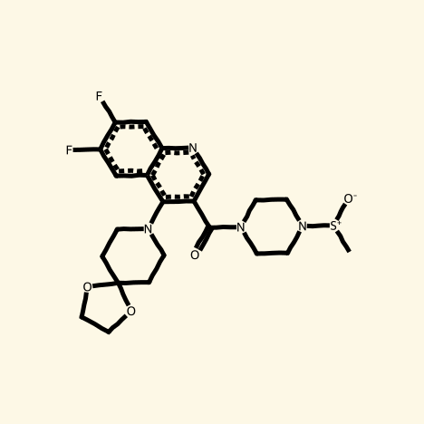 C[S+]([O-])N1CCN(C(=O)c2cnc3cc(F)c(F)cc3c2N2CCC3(CC2)OCCO3)CC1